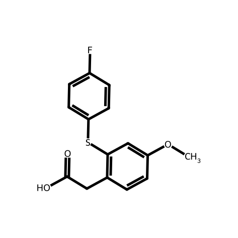 COc1ccc(CC(=O)O)c(Sc2ccc(F)cc2)c1